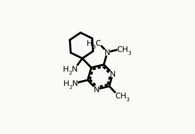 Cc1nc(N)c(C2(N)CCCCC2)c(N(C)C)n1